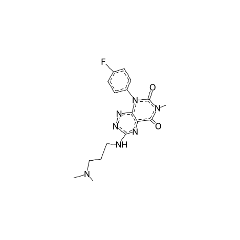 CN(C)CCCNc1nnc2c(n1)c(=O)n(C)c(=O)n2-c1ccc(F)cc1